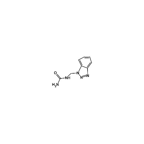 NC(=O)NCn1nnc2ccccc21